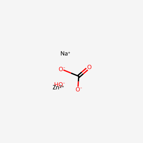 O=C([O-])[O-].[Na+].[OH-].[Zn+2]